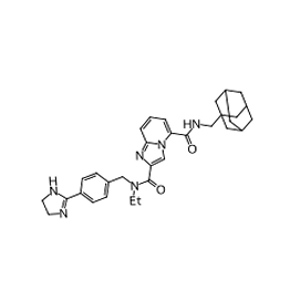 CCN(Cc1ccc(C2=NCCN2)cc1)C(=O)c1cn2c(C(=O)NCC34CC5CC(CC(C5)C3)C4)cccc2n1